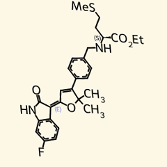 CCOC(=O)[C@H](CCSC)NCc1ccc(C2=C/C(=C3\C(=O)Nc4cc(F)ccc43)OC2(C)C)cc1